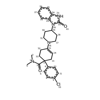 CN(C)C(=O)C1(c2ccc(Cl)cc2)CC=C(N2CCC(n3c(=O)[nH]c4ccccc43)CC2)CC1